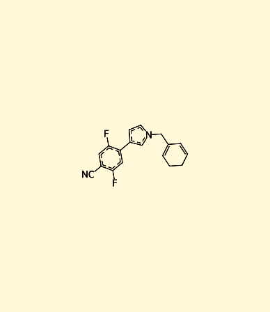 N#Cc1cc(F)c(-c2ccn(CC3=CCCC=C3)c2)cc1F